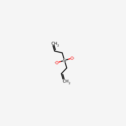 C=CC[Si]([O])([O])CC=C